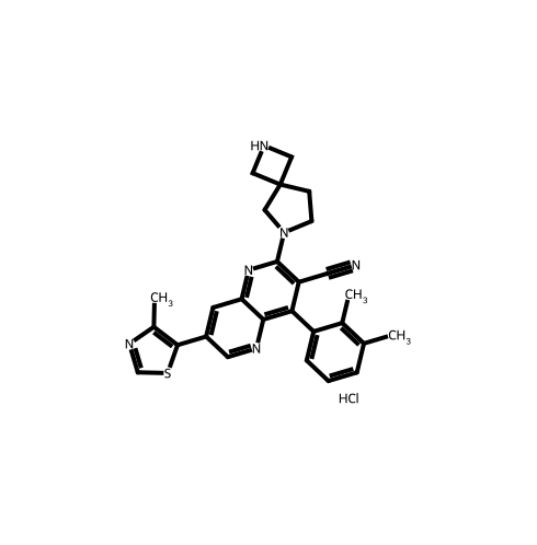 Cc1cccc(-c2c(C#N)c(N3CCC4(CNC4)C3)nc3cc(-c4scnc4C)cnc23)c1C.Cl